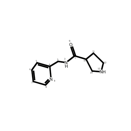 O=C(NCc1ccccn1)C1CCNC1